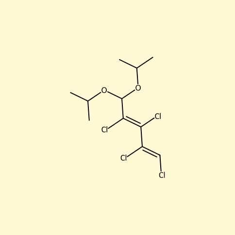 CC(C)OC(OC(C)C)C(Cl)=C(Cl)C(Cl)=CCl